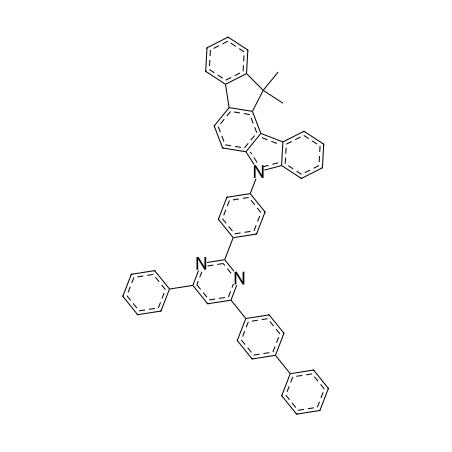 CC1(C)c2ccccc2-c2ccc3c(c21)c1ccccc1n3-c1ccc(-c2nc(-c3ccccc3)cc(-c3ccc(-c4ccccc4)cc3)n2)cc1